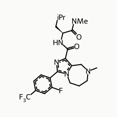 CNC(=O)[C@H](CC(C)C)NC(=O)c1nc(-c2ccc(C(F)(F)F)cc2F)n2c1CN(C)CCC2